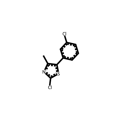 Cc1nc(Cl)sc1-c1cccc(Cl)c1